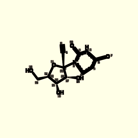 C#C[C@]1(n2ccc(=O)[nH]c2=O)O[C@H](CO)[C@@H](O)[C@H]1O